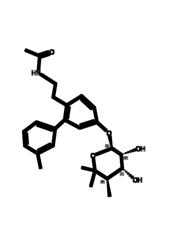 CC(=O)NCCc1ccc(O[C@@H]2OC(C)(C)[C@H](C)[C@@H](O)[C@H]2O)cc1-c1cccc(C)c1